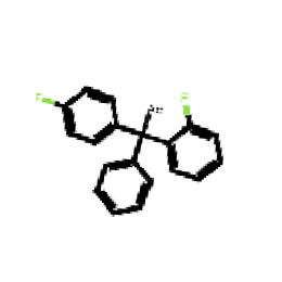 CC(=O)C(c1ccccc1)(c1ccc(F)cc1)c1ccccc1F